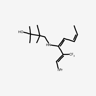 C\C=C/C=C(NCC(C)(C)C(C)(C)O)\C(=C\CCC)C(F)(F)F